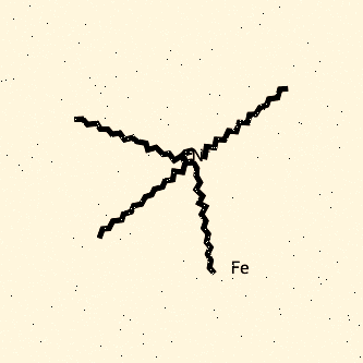 CCCCCCCCCCCCCCCCCc1cc[n+](CCCCCCCCCCCCCCCCC)c(CCCCCCCCCCCCCCCCC)c1CCCCCCCCCCCCCCCCC.[Fe]